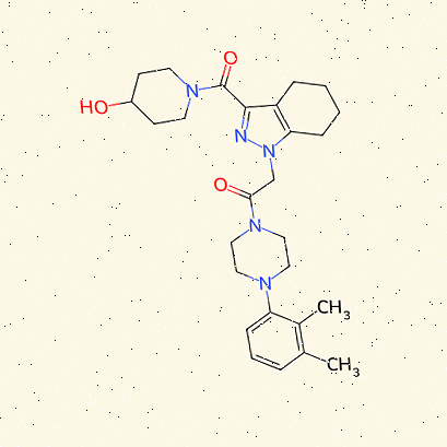 Cc1cccc(N2CCN(C(=O)Cn3nc(C(=O)N4CCC(O)CC4)c4c3CCCC4)CC2)c1C